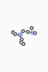 c1ccc(-n2c(-c3ccc(-c4cccc(-c5nc(-c6ccc7ccccc7c6)cc(-c6ccc7c(ccc8ccccc87)c6)n5)c4)cc3)nc3ccccc32)cc1